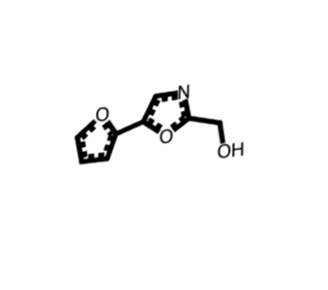 OCc1ncc(-c2ccco2)o1